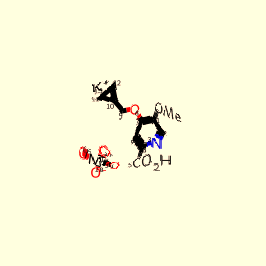 COc1cnc(C(=O)O)cc1OCC1CC1.[K+].[O]=[Mn](=[O])(=[O])[O-]